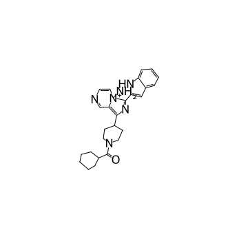 N[N+]12C=CN=CC1=C(C1CCN(C(=O)C3CCCCC3)CC1)N=C2c1cc2ccccc2[nH]1